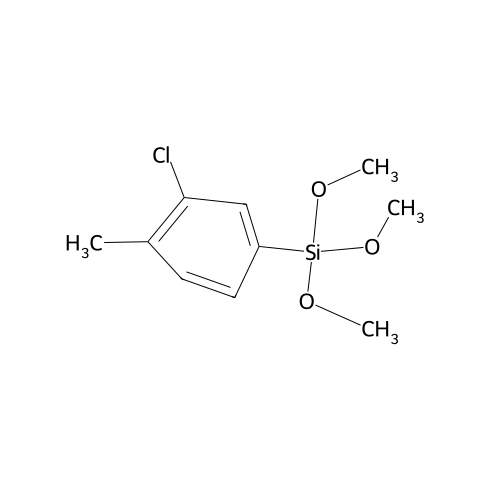 CO[Si](OC)(OC)c1ccc(C)c(Cl)c1